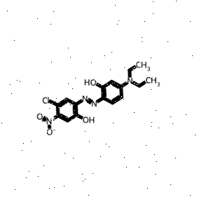 CCN(CC)c1ccc(N=Nc2cc(Cl)c([N+](=O)[O-])cc2O)c(O)c1